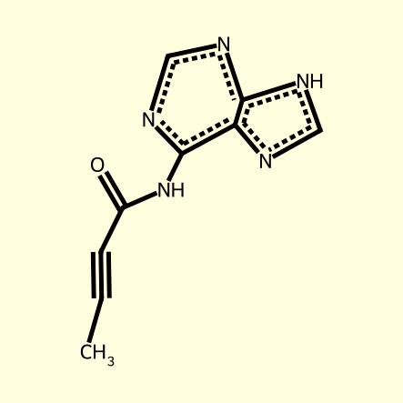 CC#CC(=O)Nc1ncnc2[nH]cnc12